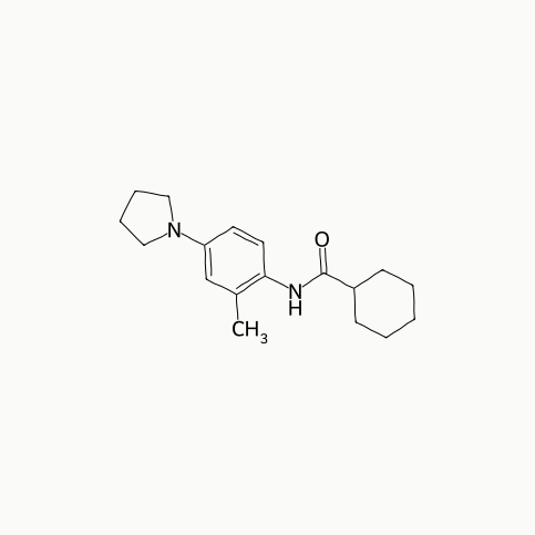 Cc1cc(N2CCCC2)ccc1NC(=O)C1CCCCC1